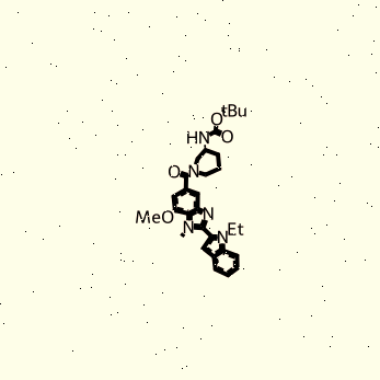 CCn1c(-c2nc3cc(C(=O)N4CCC[C@@H](NC(=O)OC(C)(C)C)C4)cc(OC)c3n2C)cc2ccccc21